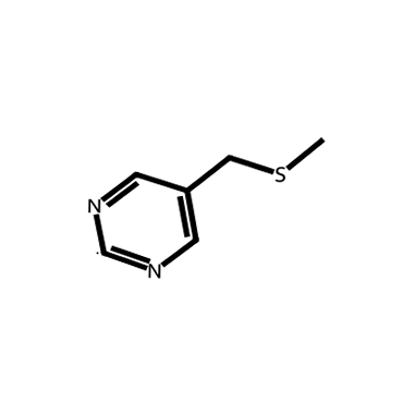 CSCc1cn[c]nc1